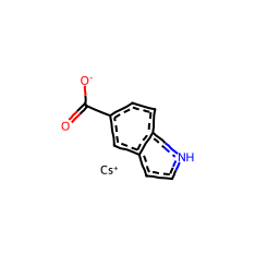 O=C([O-])c1ccc2[nH]ccc2c1.[Cs+]